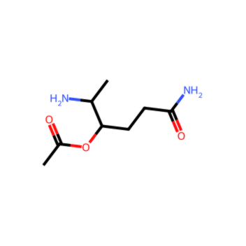 CC(=O)OC(CCC(N)=O)C(C)N